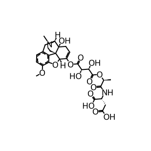 COc1ccc2c3c1O[C@H]1C(OC(=O)[C@H](O)[C@@H](O)C(=O)O[C@@H](C)C(=O)N[C@H](CC(=O)O)C(=O)O)=CC[C@@]4(O)[C@@H](C2)N(C)CC[C@]314